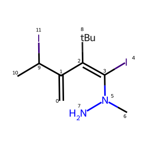 C=C(/C(=C(/I)N(C)N)C(C)(C)C)C(C)I